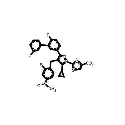 N[S+]([O-])c1ccc(Cc2c(-c3ccc(F)c(-c4cccc(F)c4)c3)nn(-c3nc(C(=O)O)cs3)c2C2CC2)c(F)c1